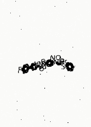 O=C(NS(=O)(=O)c1ccc(NCCSc2ccccc2Br)c([N+](=O)[O-])c1)c1ccc(-c2ccc(F)cc2)cc1